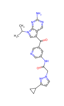 CC(C)n1cc(C(=O)c2cncc(NC(=O)Cn3ccc(C4CC4)n3)c2)c2cnc(N)nc21